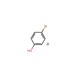 Oc1ccc(Br)cc1.[Zr]